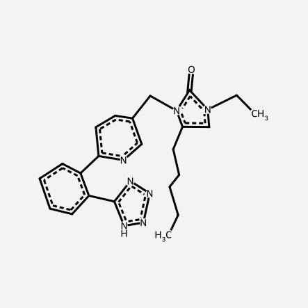 CCCCCc1cn(CC)c(=O)n1Cc1ccc(-c2ccccc2-c2nnn[nH]2)nc1